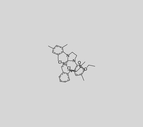 CCOC(=O)C=Nc1ccccc1[CH]=[Ru]([Cl])([Cl])=[C]1N(c2c(C)cc(C)cc2C)CCN1c1c(C)cc(C)cc1C